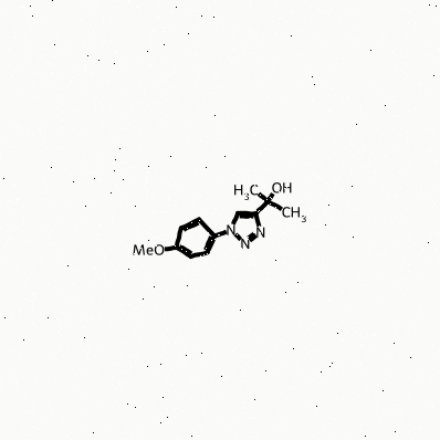 COc1ccc(-n2cc(C(C)(C)O)nn2)cc1